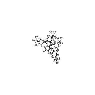 Cc1cc2c3c(c1)N(c1ccc(C(C)(C)C)cc1C)c1c(C)cc(C(C)(C)C)cc1B3c1cc(C(C)(C)C)ccc1N2c1ccc(C(C)(C)C)cc1